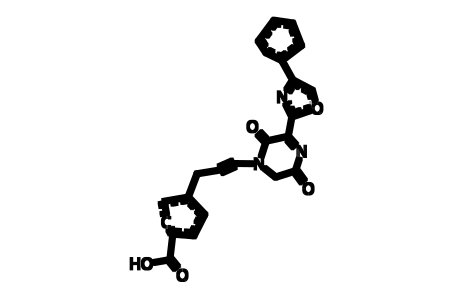 O=C1CN(C#CCc2ccc(C(=O)O)cc2)C(=O)C(c2nc(-c3ccccc3)co2)=N1